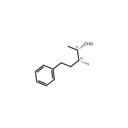 C[C@H](C=O)[C@H](C)CCc1ccccc1